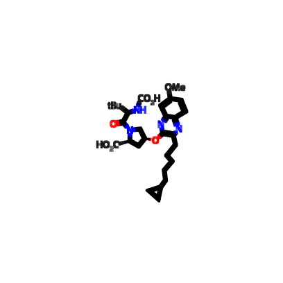 COc1ccc2nc(CCCCCC3CC3)c(O[C@@H]3C[C@@H](C(=O)O)N(C(=O)C(NC(=O)O)C(C)(C)C)C3)nc2c1